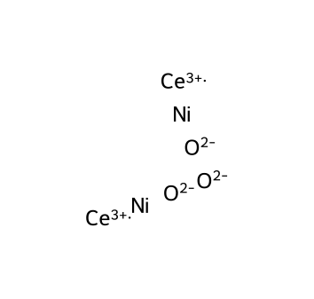 [Ce+3].[Ce+3].[Ni].[Ni].[O-2].[O-2].[O-2]